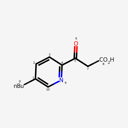 CCCCc1ccc(C(=O)CC(=O)O)nc1